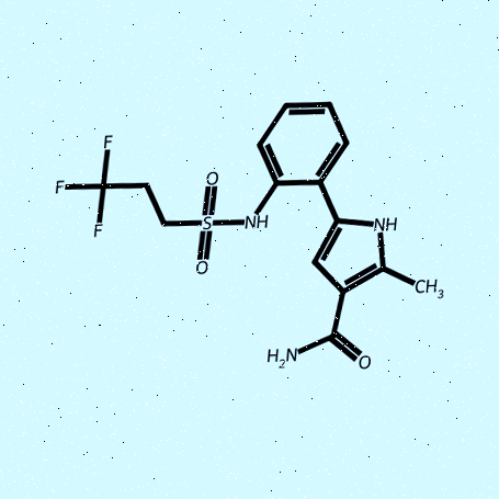 Cc1[nH]c(-c2ccccc2NS(=O)(=O)CCC(F)(F)F)cc1C(N)=O